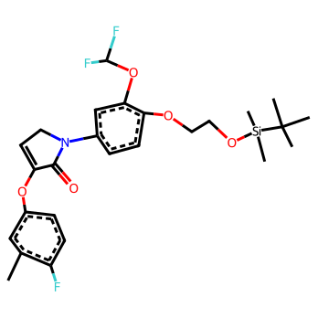 Cc1cc(OC2=CCN(c3ccc(OCCO[Si](C)(C)C(C)(C)C)c(OC(F)F)c3)C2=O)ccc1F